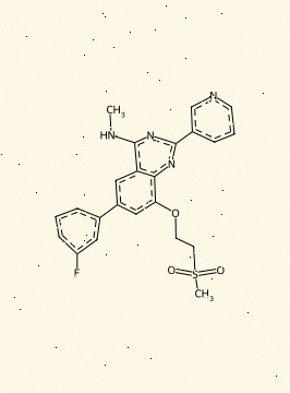 CNc1nc(-c2cccnc2)nc2c(OCCS(C)(=O)=O)cc(-c3cccc(F)c3)cc12